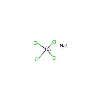 [Cl][Ga-]([Cl])([Cl])[Cl].[Na+]